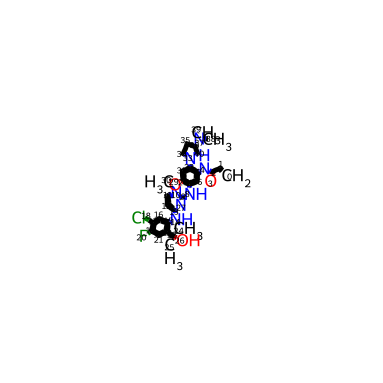 C=CC(=O)Nc1cc(Nc2nccc(Nc3cc(Cl)c(F)cc3C(C)(C)O)n2)c(OC)cc1N1CC[C@H](N(C)C)C1